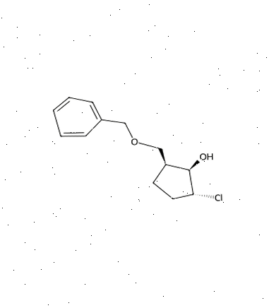 O[C@@H]1[C@H](COCc2ccccc2)CC[C@H]1Cl